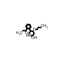 CCCCOC1CCNCC1c1ccccc1C(=O)CC.Cl